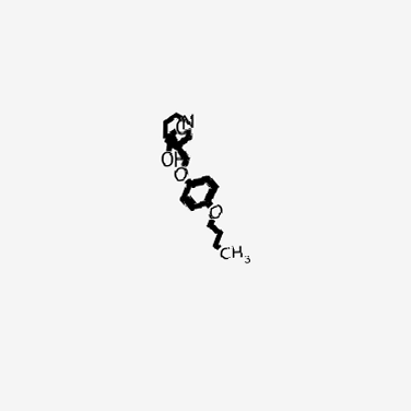 CCCCOc1ccc(OCC2(O)CN3CCC2CC3)cc1